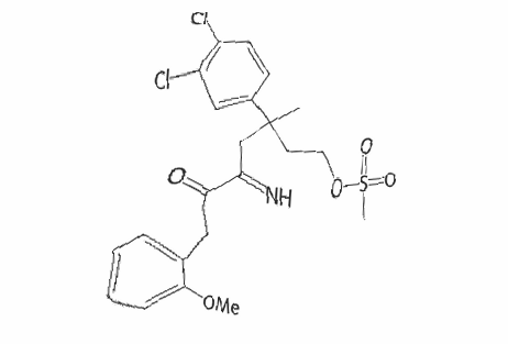 COc1ccccc1CC(=O)C(=N)CC(C)(CCOS(C)(=O)=O)c1ccc(Cl)c(Cl)c1